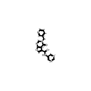 O=C(Nc1cncnc1)c1coc2ncn(Cc3cccnc3)c(=O)c12